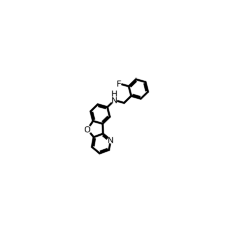 Fc1ccccc1CNc1ccc2oc3cccnc3c2c1